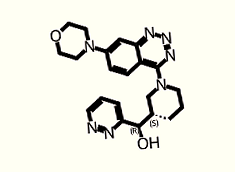 O[C@@H](c1cccnn1)[C@H]1CCCN(c2nnnc3cc(N4CCOCC4)ccc23)C1